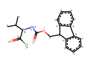 CC(C)[C@@H](NC(=O)OCC1c2ccccc2-c2ccccc21)C(=O)Cl